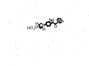 O=C(c1nsc2cc(N3C[C@@H]4C[C@H]3CN4C(=O)O)ccc12)N1CCN2CCC1CC2